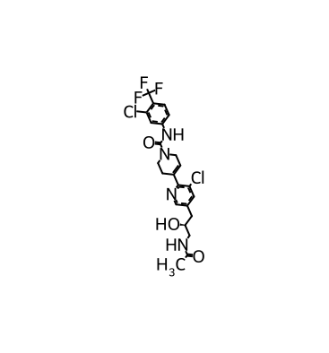 CC(=O)NC[C@@H](O)Cc1cnc(C2=CCN(C(=O)Nc3ccc(C(F)(F)F)c(Cl)c3)CC2)c(Cl)c1